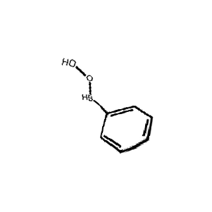 OOBc1ccccc1